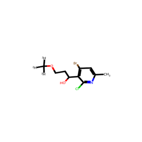 [2H]C([2H])([2H])OCCC(O)c1c(Br)cc(C)nc1Cl